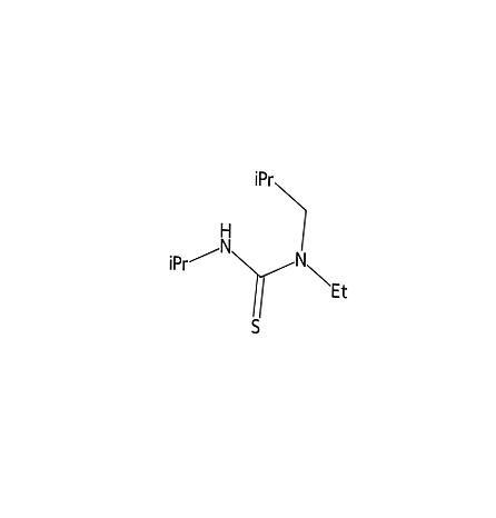 [CH2]CN(CC(C)C)C(=S)NC(C)C